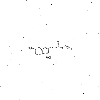 CCOC(=O)CCc1ccc2c(c1)CC(N)CC2.Cl